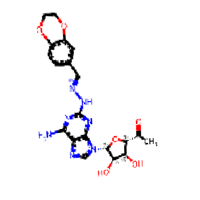 CC(=O)[C@H]1O[C@@H](n2cnc3c(N)nc(N/N=C/c4ccc5c(c4)OCCO5)nc32)[C@H](O)[C@@H]1O